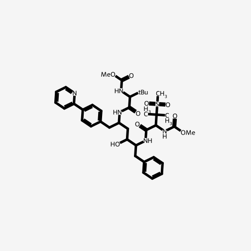 COC(=O)NC(C(=O)NC(Cc1ccc(-c2ccccn2)cc1)CC(O)C(Cc1ccccc1)NC(=O)C(NC(=O)OC)C(C)(C)S(C)(=O)=O)C(C)(C)C